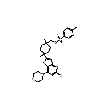 Cc1ccc(S(=O)(=O)OCC2(C)CCC(C)(c3cc4nc(Cl)nc(N5CCOCC5)c4s3)OC2)cc1